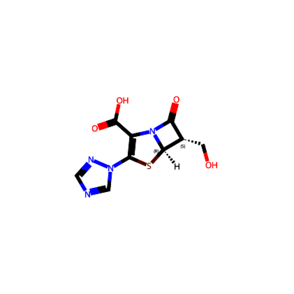 O=C(O)C1=C(n2cncn2)S[C@@H]2[C@@H](CO)C(=O)N12